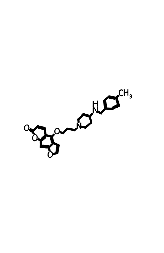 Cc1ccc(CNC2CCN(CCCOc3c4ccoc4cc4oc(=O)ccc34)CC2)cc1